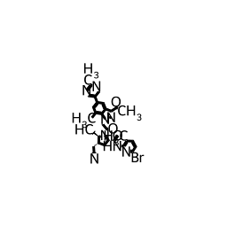 C#C[C@@H]1[C@@H](CC#N)C[C@@H](C(=O)Nc2nc(Br)ccc2C)N1C(=O)Cn1nc(C(C)=O)c2cc(-c3cnc(C)nc3)cc(C)c21